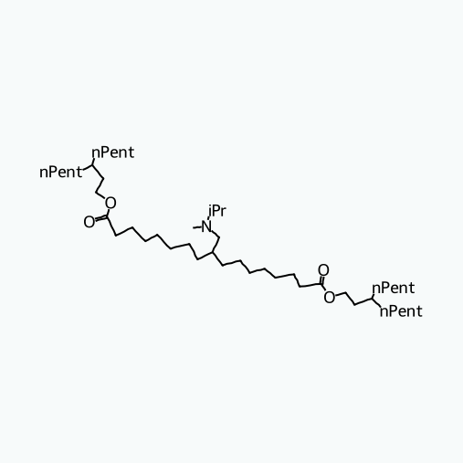 CCCCCC(CCCCC)CCOC(=O)CCCCCCCC(CCCCCCCC(=O)OCCC(CCCCC)CCCCC)CN(C)C(C)C